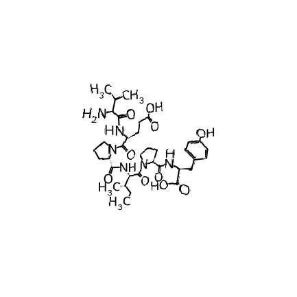 CC[C@H](C)[C@H](NC(=O)[C@@H]1CCCN1C(=O)[C@H](CCC(=O)O)NC(=O)[C@@H](N)C(C)C)C(=O)N1CCC[C@H]1C(=O)N[C@@H](Cc1ccc(O)cc1)C(=O)O